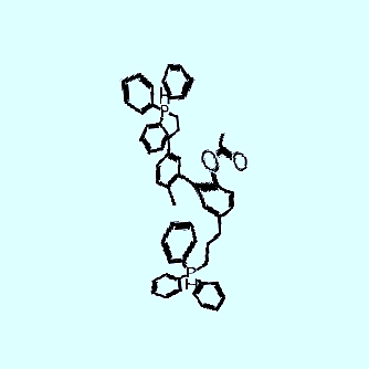 CC(=O)Oc1ccc(CCC[PH](c2ccccc2)(c2ccccc2)c2ccccc2)cc1-c1cc(CCC[PH](c2ccccc2)(c2ccccc2)c2ccccc2)ccc1C